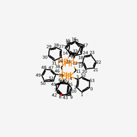 c1ccc([PH]2(c3ccccc3)C[PH](c3ccccc3)(c3ccccc3)[PH](c3ccccc3)(c3ccccc3)C[PH]2(c2ccccc2)c2ccccc2)cc1